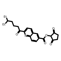 CCC(CC)CCCC(=O)c1ccc2cc(C(=O)OC3C(=O)CCC3=O)ccc2n1